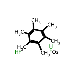 Cc1c(C)c(C)c(C)c(C)c1C.F.F.[Os]